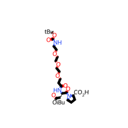 CC(C)COC(=O)C[C@H](NC(=O)CCOCCOCCOCCNC(=O)OC(C)(C)C)C(=O)N1CCC[C@H]1C(=O)O